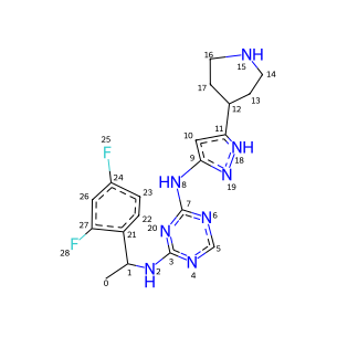 CC(Nc1ncnc(Nc2cc(C3CCNCC3)[nH]n2)n1)c1ccc(F)cc1F